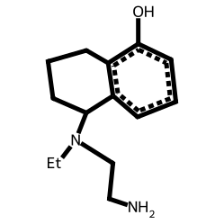 CCN(CCN)C1CCCc2c(O)cccc21